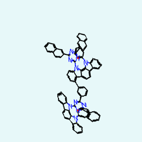 c1ccc(-c2nc(-c3cccc(-c4cccc5c4c4ccc6c7ccccc7n(-c7ccccc7)c6c4n5-c4nc(-c5ccc6ccccc6c5)nc(-c5ccc6ccccc6c5)n4)c3)nc(-n3c4ccccc4c4ccc5c6ccccc6n(-c6ccccc6)c5c43)n2)cc1